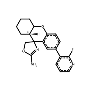 NC1=NC2(CO1)c1cc(-c3cccnc3F)ccc1OC1CCCC[C@H]12